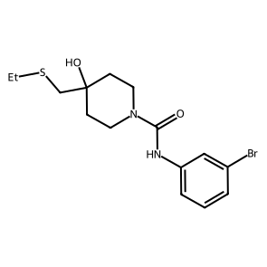 CCSCC1(O)CCN(C(=O)Nc2cccc(Br)c2)CC1